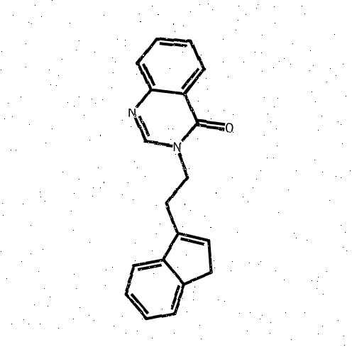 O=c1c2ccccc2ncn1CCC1=CCc2ccccc21